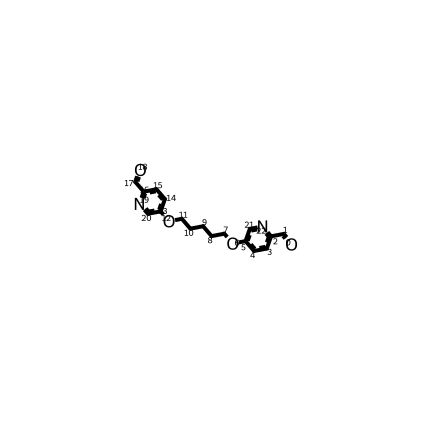 O=Cc1ccc(OCCCCCOc2ccc(C=O)nc2)cn1